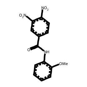 COc1ccccc1NC(=O)c1ccc([N+](=O)[O-])c([N+](=O)[O-])c1